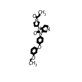 C=CC(=O)N1CCC(n2c(=O)n(-c3ccc(Oc4cccc(OCC)c4)cc3)c3cnccc32)C1